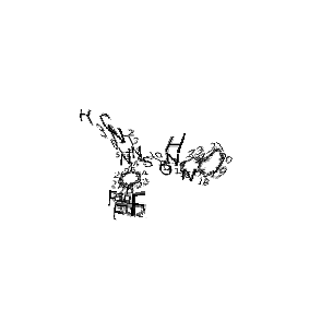 CN1CCC2(CC1)N=C(SCC(=O)Nc1cnc3ccccc3c1)C(c1ccc(C(F)(F)F)cc1)=N2